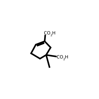 CC1(C(=O)O)CCC=C(C(=O)O)C1